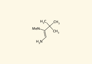 CN/C(=C\N)C(C)(C)C